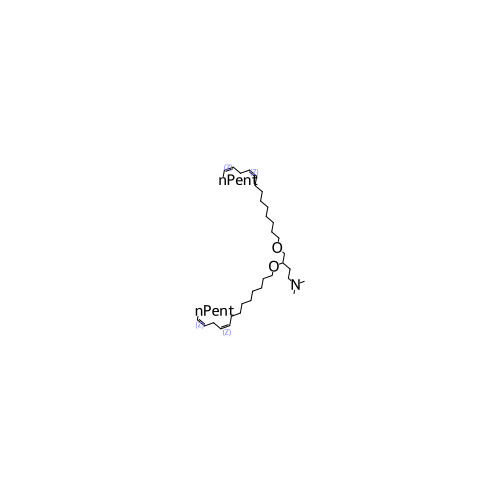 CCCCC/C=C\C/C=C\CCCCCCCCOCC(CCN(C)C)OCCCCCCCC/C=C\C/C=C\CCCCC